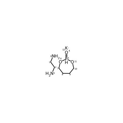 NCCN.O=[PH]1OCCCCO1.[K]